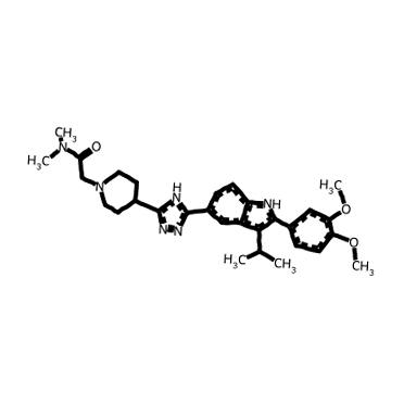 COc1ccc(-c2[nH]c3ccc(-c4nnc(C5CCN(CC(=O)N(C)C)CC5)[nH]4)cc3c2C(C)C)cc1OC